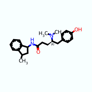 CC1CC(NC(=O)CC[C@H](Cc2ccc(O)cc2)N(C)C)c2ccccc21